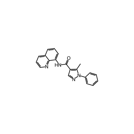 Cc1c(C(=O)Nc2cccc3cccnc23)cnn1-c1ccccc1